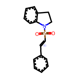 O=S(=O)(/C=C/c1ccccc1)N1CCc2ccccc21